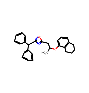 O=C(O)C(Cc1nc(C(c2ccccc2)c2ccccc2)no1)Oc1cccc2c1CCCC2